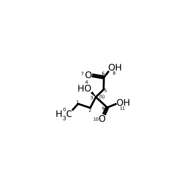 CCC[C@](O)(CC(=O)O)C(=O)O